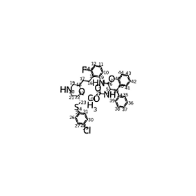 COC(=O)NC(C(=O)Nc1cccc(F)c1CC[C@@H]1CNC[C@@H](CSc2ccc(Cl)cc2)O1)C(c1ccccc1)c1ccccc1